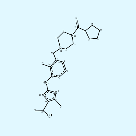 Cc1sc(Nc2cccc(CN3CCN(C(=O)C4CCCC4)CC3)c2C)nc1C(C)O